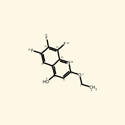 CCOc1cc(O)c2cc(F)c(F)c(F)c2n1